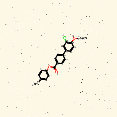 CCCCCCCCCCc1ccc(OC(=O)c2ccc(-c3ccc(OCCCCCC)c(Cl)c3)cc2)cc1